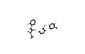 O=C(O)c1cc2c(cc1F)OCc1nc(OCc3c(-c4c(Cl)cccc4Cl)noc3C3CC3)ccc1O2